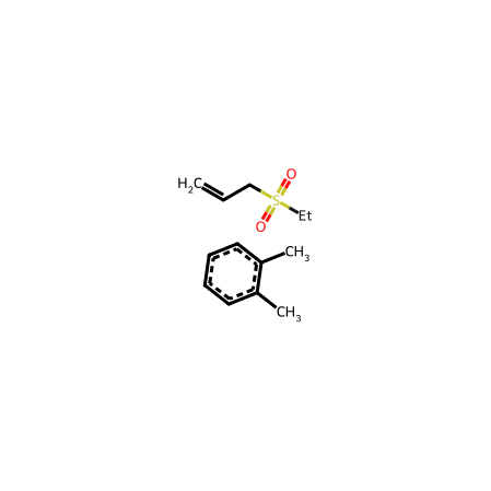 C=CCS(=O)(=O)CC.Cc1ccccc1C